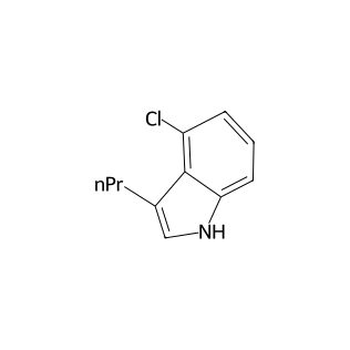 CCCc1c[nH]c2cccc(Cl)c12